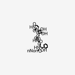 CCCCCCCCCC(=O)NC(COC(=O)NS(=O)(=O)OC[C@H]1O[C@@H](n2ccc(=O)[nH]c2=O)[C@H](O)[C@@H]1O)C(O)c1ccccc1